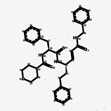 O=C(/C=C/[C@H](CCc1ccccc1)NC(=O)[C@H](Cc1ccccc1)NC(=O)N1CCOCC1)NCc1ccccc1